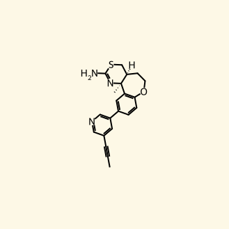 CC#Cc1cncc(-c2ccc3c(c2)[C@@]2(C)N=C(N)SC[C@H]2CCO3)c1